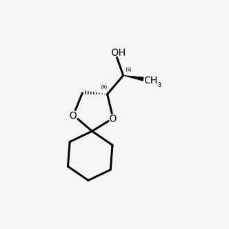 C[C@H](O)[C@H]1COC2(CCCCC2)O1